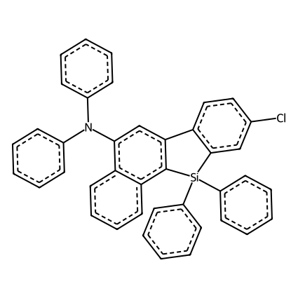 Clc1ccc2c(c1)[Si](c1ccccc1)(c1ccccc1)c1c-2cc(N(c2ccccc2)c2ccccc2)c2ccccc12